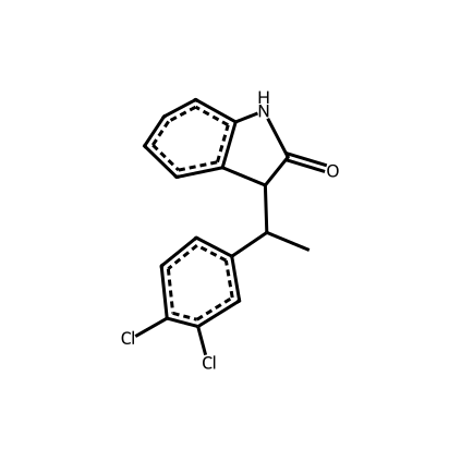 CC(c1ccc(Cl)c(Cl)c1)C1C(=O)Nc2ccccc21